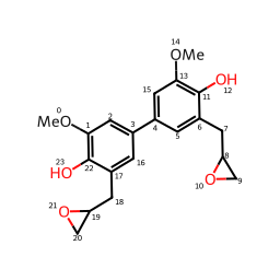 COc1cc(-c2cc(CC3CO3)c(O)c(OC)c2)cc(CC2CO2)c1O